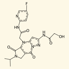 CC(C)N1Cc2c(n(CC(=O)Nc3ccc(F)cn3)c3cc(NC(=O)CO)nn3c2=O)C1=O